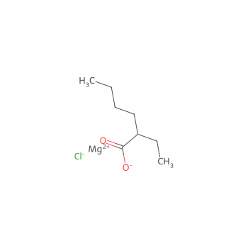 CCCCC(CC)C(=O)[O-].[Cl-].[Mg+2]